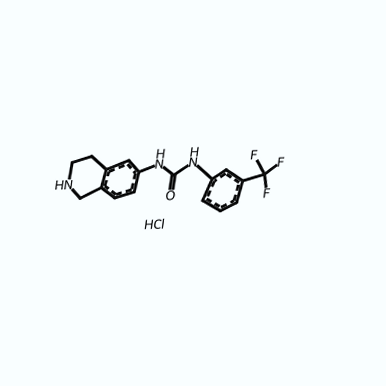 Cl.O=C(Nc1cccc(C(F)(F)F)c1)Nc1ccc2c(c1)CCNC2